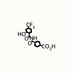 O=C(O)c1ccc(C(=O)NC(=O)c2ccc(C(F)(F)F)cc2O)cc1